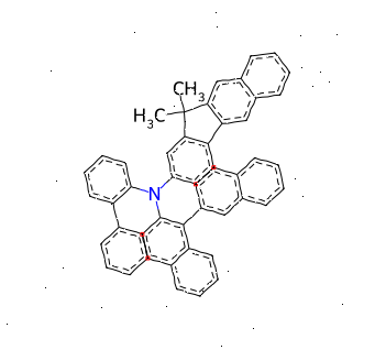 CC1(C)c2cc(N(c3ccccc3-c3ccccc3)c3ccc4ccccc4c3-c3ccc4ccccc4c3)ccc2-c2cc3ccccc3cc21